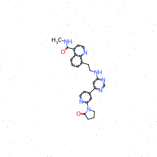 CNC(=O)c1ccnc2c(CCNc3cc(-c4ccnc(N5CCCC5=O)c4)ncn3)cccc12